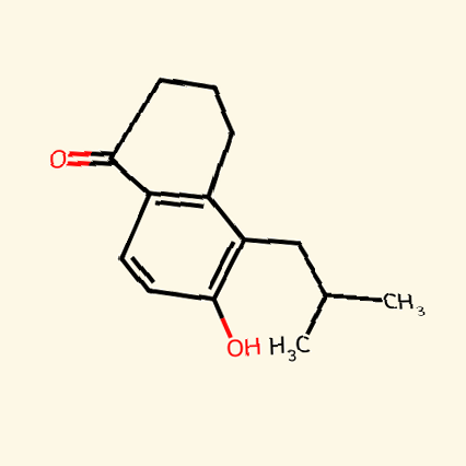 CC(C)Cc1c(O)ccc2c1CCCC2=O